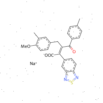 COc1ccc(C/C(C(=O)c2ccc(C)cc2)=C(\C(=O)[O-])c2ccc3nsnc3c2)cc1C.[Na+]